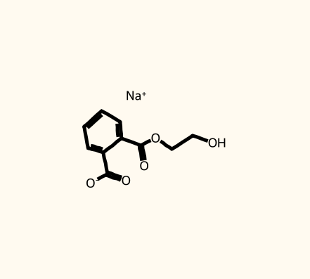 O=C([O-])c1ccccc1C(=O)OCCO.[Na+]